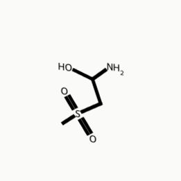 CS(=O)(=O)CC(N)O